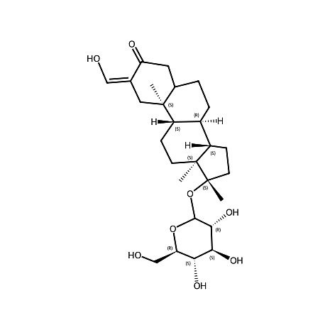 C[C@]12CC(=CO)C(=O)CC1CC[C@@H]1[C@@H]2CC[C@@]2(C)[C@H]1CC[C@]2(C)OC1O[C@H](CO)[C@@H](O)[C@H](O)[C@H]1O